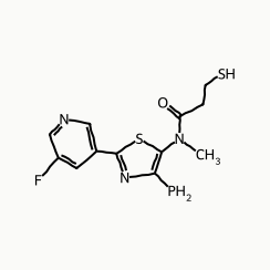 CN(C(=O)CCS)c1sc(-c2cncc(F)c2)nc1P